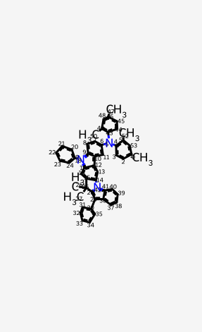 Cc1ccc(N(c2ccc3c(c2)c2cc4c(cc2n3-c2ccccc2)C(C)(C)c2c(-c3ccccc3)c3ccccc3n2-4)c2ccc(C)cc2C)c(C)c1